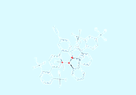 C=CC(C)c1ccccc1N(c1ccc(C#N)cc1-c1ccc(-c2c(C(F)(F)F)cccc2C(F)(F)F)cc1-n1c2ccccc2c2cc(-c3ccc(C(F)(F)F)cc3C(F)(F)F)ccc21)C(C)C(F)(F)F